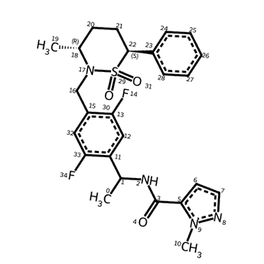 CC(NC(=O)c1ccnn1C)c1cc(F)c(CN2[C@H](C)CC[C@@H](c3ccccc3)S2(=O)=O)cc1F